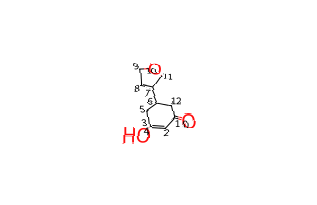 O=C1C=C(O)CC(C2CCOC2)C1